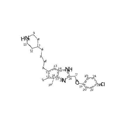 Cc1c(CCCCC2CCNCC2)cc2[nH]c(COc3ccc(Cl)cc3)nc2c1C